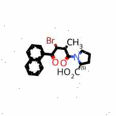 CC(C(=O)N1CCC[C@H]1C(=O)O)C(Br)C(=O)c1cccc2ccccc12